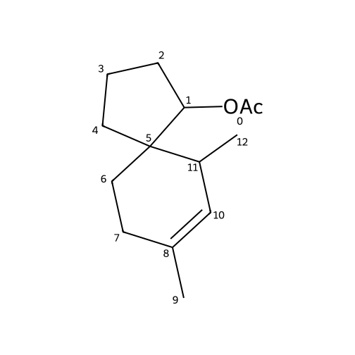 CC(=O)OC1CCCC12CCC(C)=CC2C